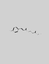 O=C(/C=C/c1ccc([N+](=O)[O-])cc1)NCCC(=O)NO